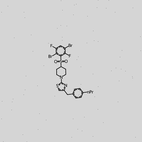 CCCc1ccc(Cc2csc(N3CCC(S(=O)(=O)c4c(F)c(Br)cc(F)c4Br)CC3)n2)cc1